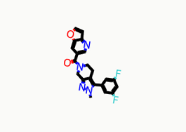 Cn1nc2c(c1-c1cc(F)cc(F)c1)CCN(C(=O)c1cnc3ccoc3c1)C2